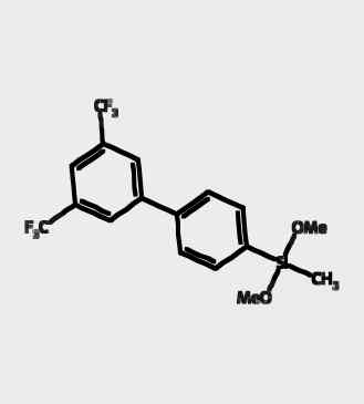 CO[Si](C)(OC)c1ccc(-c2cc(C(F)(F)F)cc(C(F)(F)F)c2)cc1